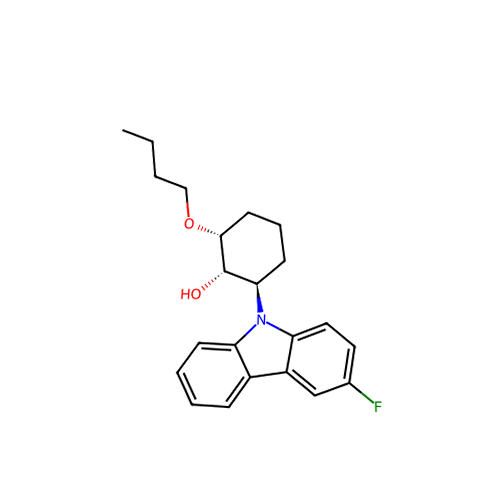 CCCCO[C@@H]1CCC[C@@H](n2c3ccccc3c3cc(F)ccc32)[C@@H]1O